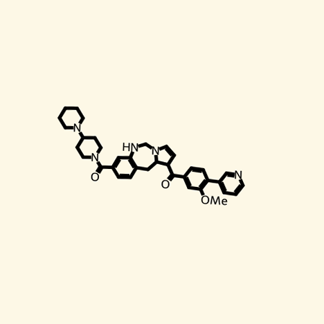 COc1cc(C(=O)C2C=CN3CNc4cc(C(=O)N5CCC(N6CCCCC6)CC5)ccc4CC23)ccc1-c1cccnc1